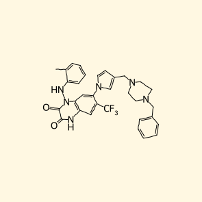 Cc1ccccc1Nn1c(=O)c(=O)[nH]c2cc(C(F)(F)F)c(-n3ccc(CN4CCN(Cc5ccccc5)CC4)c3)cc21